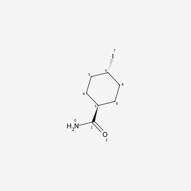 NC(=O)[C@H]1CC[C@H](I)CC1